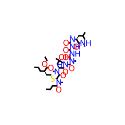 CCCC(=O)N(C)[C@H](SCC[C@@H](CCC)C(=O)OCC)C(=O)N(C)[C@@H](CC(C)(C)O)C(=O)NC(=O)N(C)C(=O)NC(=O)NC(=O)N(C)[C@@H](CC(C)C)C(=O)NC